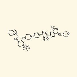 CC1(C)CCC(NCC2C3CC4CC(C3)CC2C4)C(CN2CCN(c3ccc(C(=O)NS(=O)(=O)c4ccc(NCC5CCOCC5)c([N+](=O)[O-])c4)cc3)CC2)C1